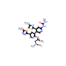 CCNC(=O)Nc1cc(-c2nc(C)cs2)c(-c2cc(-c3nnc(C)o3)cnc2OC(C)CN(C)C)cn1